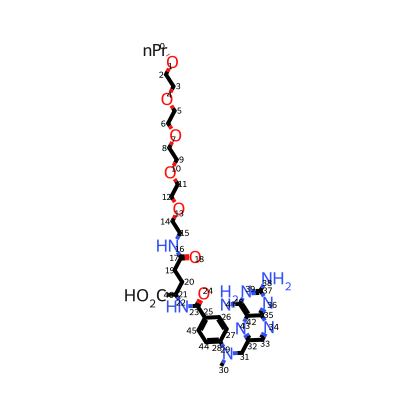 CCCOCCOCCOCCOCCOCCNC(=O)CCC(NC(=O)c1ccc(N(C)Cc2cnc3nc(N)nc(N)c3n2)cc1)C(=O)O